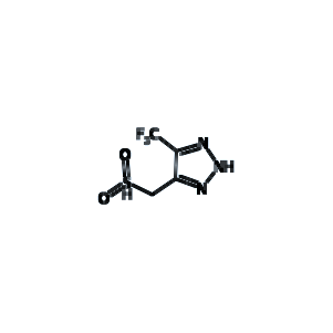 O=[SH](=O)Cc1n[nH]nc1C(F)(F)F